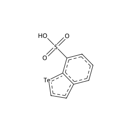 O=S(=O)(O)c1cccc2cc[te]c12